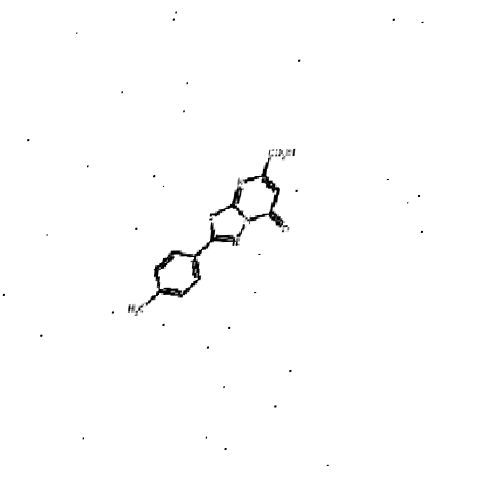 CCOC(=O)c1cc(=O)n2nc(-c3ccc(C)cc3)sc2n1